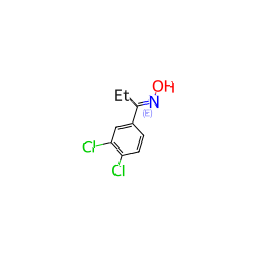 CC/C(=N\O)c1ccc(Cl)c(Cl)c1